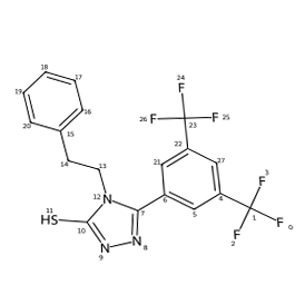 FC(F)(F)c1cc(-c2nnc(S)n2CCc2ccccc2)cc(C(F)(F)F)c1